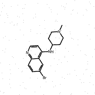 CN1CCC(Nc2ccnc3ccc(Br)cc23)CC1